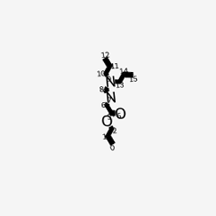 C=CCOC(=O)CN=CN(CC=C)CC=C